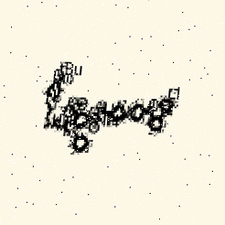 CN(CCCN1CCN(C(=O)OC(C)(C)C)CC1)CC[C@H](CSc1ccccc1)Nc1ccc(S(=O)(=O)NC(=O)c2ccc(N3CCC([C@@H](O)c4ccccc4-c4ccc(Cl)cc4)CC3)cc2)cc1S(=O)(=O)C(F)(F)F